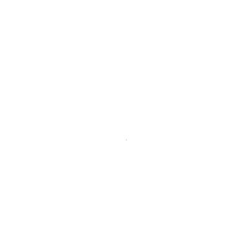 COc1ccc(NCC(=O)O)cc1C